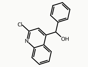 OC(c1ccccc1)c1cc(Cl)nc2ccccc12